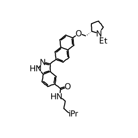 CCN1CCC[C@H]1COc1ccc2cc(-c3n[nH]c4ccc(C(=O)NCCC(C)C)cc34)ccc2c1